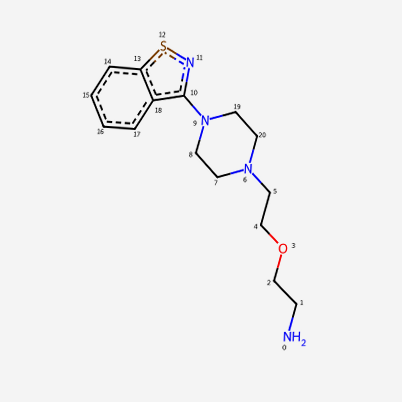 NCCOCCN1CCN(c2nsc3ccccc23)CC1